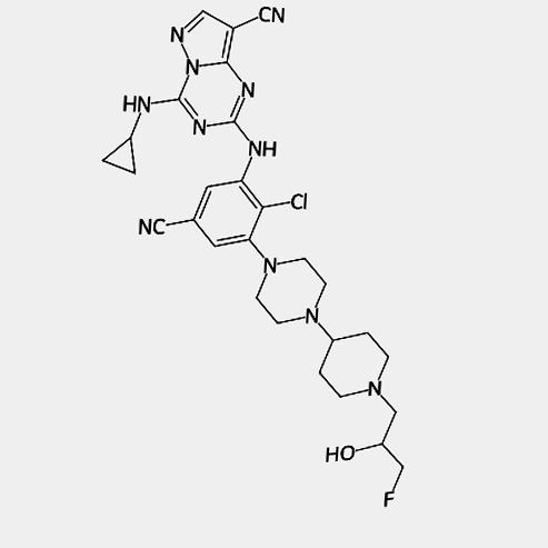 N#Cc1cc(Nc2nc(NC3CC3)n3ncc(C#N)c3n2)c(Cl)c(N2CCN(C3CCN(CC(O)CF)CC3)CC2)c1